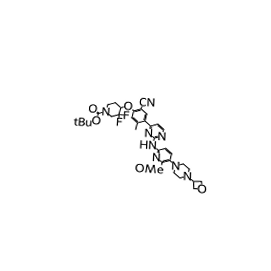 COc1nc(Nc2nccc(-c3cc(C#N)c(OC4CCN(C(=O)OC(C)(C)C)CC4(F)F)cc3C)n2)ccc1N1CCN(C2COC2)CC1